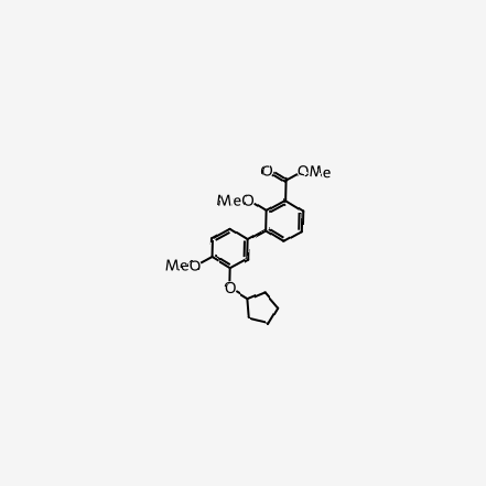 COC(=O)c1cccc(-c2ccc(OC)c(OC3CCCC3)c2)c1OC